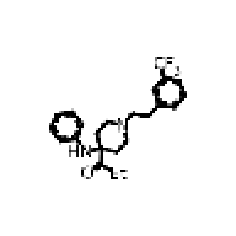 CCC(=O)C1(Nc2ccccc2)CCN(CCc2cccc(C(F)(F)F)c2)CC1